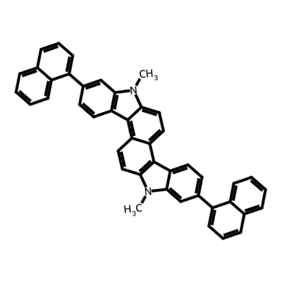 Cn1c2cc(-c3cccc4ccccc34)ccc2c2c3ccc4c(c3ccc21)c1ccc(-c2cccc3ccccc23)cc1n4C